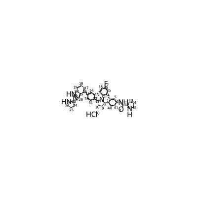 Cl.O=C(Nc1ccc(C2CCC(c3ccc(C4=CC=CC5NN([C@H]6CCCN6)C=C45)cc3)N2c2ccc(F)cc2)cc1)[C@@H]1CCCN1